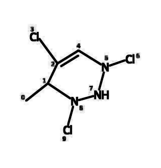 CC1C(Cl)=CN(Cl)NN1Cl